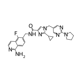 Nc1nccc2c(F)c(CNC(=O)c3cn(Cc4cnc(N5CCCC5)nc4)c(C4CC4)n3)ccc12